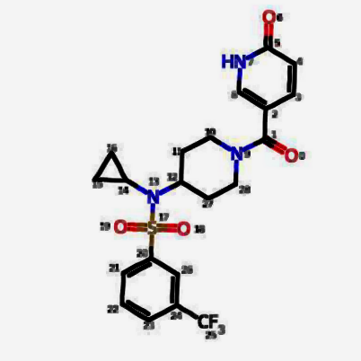 O=C(c1ccc(=O)[nH]c1)N1CCC(N(C2CC2)S(=O)(=O)c2cccc(C(F)(F)F)c2)CC1